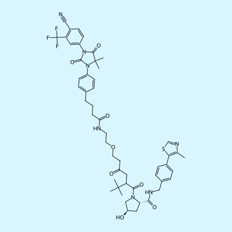 Cc1ncsc1-c1ccc(CNC(=O)[C@@H]2C[C@@H](O)CN2C(=O)C(CC(=O)CCOCCNC(=O)CCCc2ccc(N3C(=O)N(c4ccc(C#N)c(C(F)(F)F)c4)C(=O)C3(C)C)cc2)C(C)(C)C)cc1